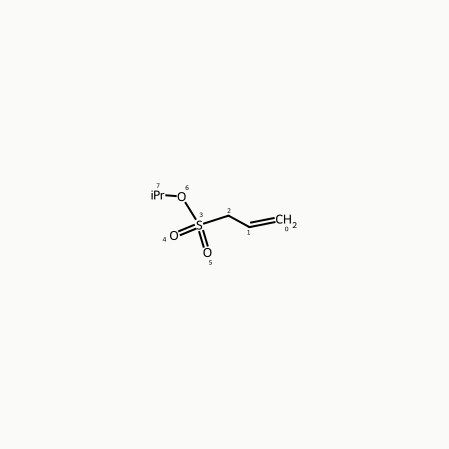 C=CCS(=O)(=O)OC(C)C